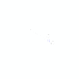 CCCCCCCCC=CCCCCCCCCN(Cc1ccccc1)Cc1ccccc1